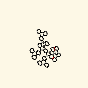 c1ccc(-c2cccc(-c3ccccc3)c2N2c3ccccc3B3c4cc5c(cc4N(c4ccc6c7ccccc7c7ccccc7c6c4)c4cccc2c43)N(c2ccc3c4ccccc4c4ccccc4c3c2)c2cccc3c2B5c2ccccc2N3c2ccc3c4ccccc4c4ccccc4c3c2)cc1